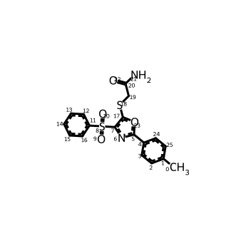 Cc1ccc(-c2nc(S(=O)(=O)c3ccccc3)c(SCC(N)=O)o2)cc1